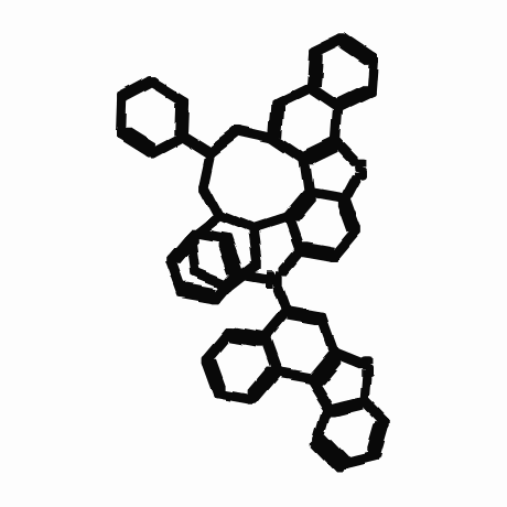 c1ccc2sc3cc(N(c4ccccc4)c4ccc5sc6c7ccccc7cc7c6c5c4C4CCCCC4CC(C4=CCCC=C4)C7)c4ccccc4c3c2c#1